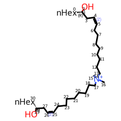 CCCCCC[C@@H](O)C/C=C\CCCCCCCC[N+](C)(C)CCCCCCCC/C=C\C[C@H](O)CCCCCC